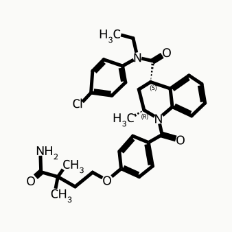 CCN(C(=O)[C@H]1C[C@@H](C)N(C(=O)c2ccc(OCCC(C)(C)C(N)=O)cc2)c2ccccc21)c1ccc(Cl)cc1